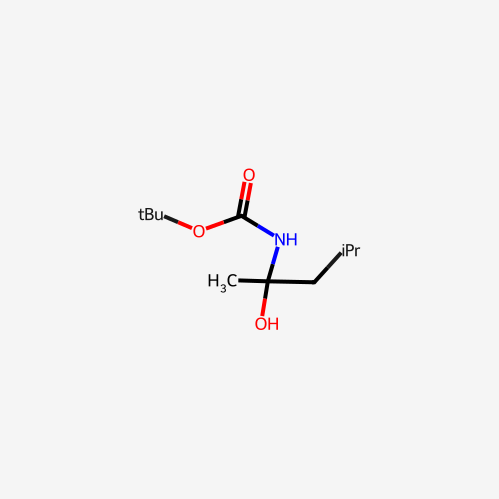 CC(C)CC(C)(O)NC(=O)OC(C)(C)C